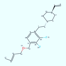 C=C[C@H]1CC[C@H](CCc2ccc(COCC=CC)c(F)c2F)CC1